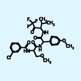 COCC(NC(=O)c1cccc(Cl)c1)C(=O)NC(C(=O)NC(C(=O)C(F)(F)F)C(C)C)c1ccc(OC)cc1